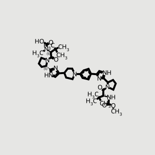 COC(=O)N[C@H](C(=O)N1CCCC1c1nc(-c2ccc(N3CCC(c4c[nH]c([C@@H]5CCCN5C(=O)[C@@H](N(C)C(=O)O)C(C)(C)C)n4)CC3)cc2)c[nH]1)C(C)(C)C